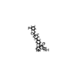 O=C(Cc1cccc(F)c1)N1CCC(c2ccc(N(C(=O)C3CNC3)c3ccnnc3)cc2)CC1